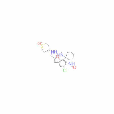 CNC1(c2c(NC=O)c(Cl)cc3cc(CNC4CC[S+]([O-])CC4)oc23)CCCCC1